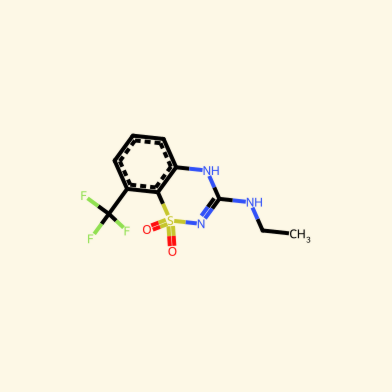 CCNC1=NS(=O)(=O)c2c(cccc2C(F)(F)F)N1